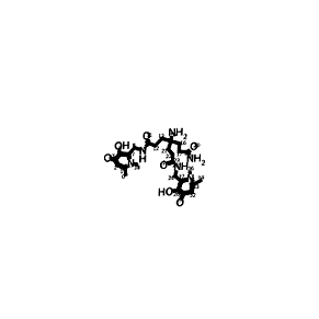 Cc1cc(=O)c(O)c(CNC(=O)CCC(N)(CCC(N)=O)CCC(=O)NCc2c(O)c(=O)cc(C)n2C)n1C